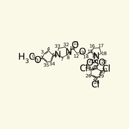 COc1ccc(N2CCN(C(=O)COCC3CCCN3S(=O)(=O)c3c(Cl)cc(Cl)cc3Cl)CC2)cc1